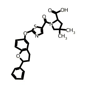 CC1(C)CC(C(=O)O)N(C(=O)c2cnc(Oc3ccc4c(c3)CCC(c3ccccc3)O4)s2)C1